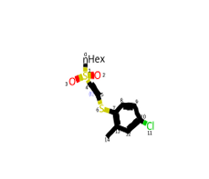 CCCCCCS(=O)(=O)/C=C/Sc1ccc(Cl)cc1C